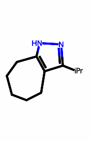 CC(C)c1n[nH]c2c1CCCCC2